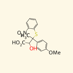 COc1ccc(C(C)(Sc2ccccc2[N+](=O)[O-])C(O)C(=O)O)cc1